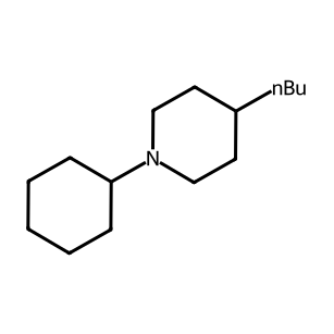 CCCCC1CCN(C2CCCCC2)CC1